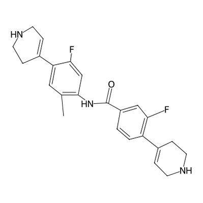 Cc1cc(C2=CCNCC2)c(F)cc1NC(=O)c1ccc(C2=CCNCC2)c(F)c1